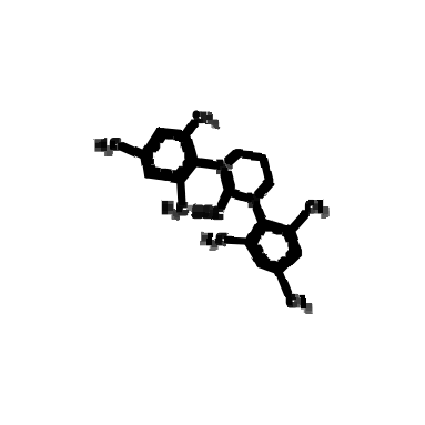 Cc1cc(C)c(N2CCC[N+](c3c(C)cc(C)cc3C)=C2C(=O)[O-])c(C)c1